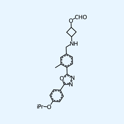 Cc1cc(CNC2CC(OC=O)C2)ccc1-c1nnc(-c2ccc(OC(C)C)cc2)o1